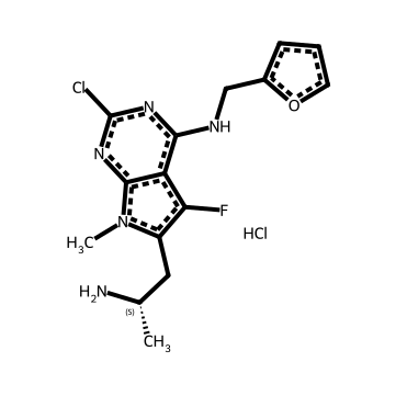 C[C@H](N)Cc1c(F)c2c(NCc3ccco3)nc(Cl)nc2n1C.Cl